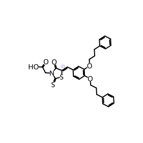 O=C(O)CN1C(=O)/C(=C/c2ccc(OCCCc3ccccc3)c(OCCCc3ccccc3)c2)SC1=S